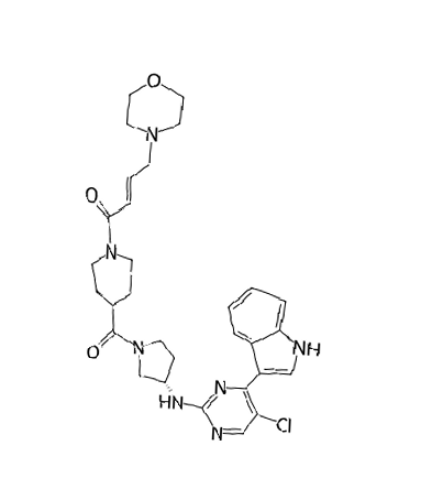 O=C(C=CCN1CCOCC1)N1CCC(C(=O)N2CC[C@H](Nc3ncc(Cl)c(-c4c[nH]c5ccccc45)n3)C2)CC1